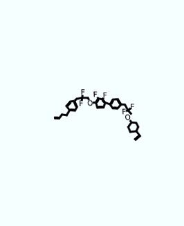 C=CCCc1ccc(CC(F)(F)COc2ccc(-c3ccc(CC(F)(F)COC4CCC(C=C)CC4)cc3)c(F)c2F)cc1